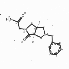 C[C@]12CN(Cc3ccccc3)C[C@@]1(C)C(=O)N(CC(N)=O)C2